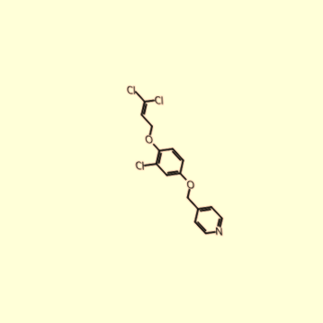 ClC(Cl)=CCOc1ccc(OCc2ccncc2)cc1Cl